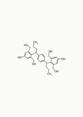 CCCC(c1ccc(C(CCC)c2c(CO)cc(O)cc2CO)cc1)c1c(CO)cc(O)cc1CO